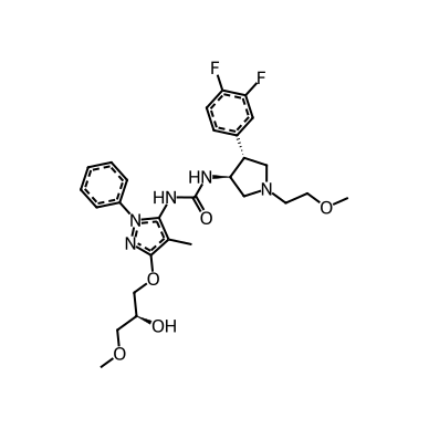 COCCN1C[C@@H](NC(=O)Nc2c(C)c(OC[C@@H](O)COC)nn2-c2ccccc2)[C@H](c2ccc(F)c(F)c2)C1